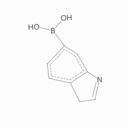 OB(O)c1ccc2c(c1)N=CC2